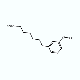 C[CH]Oc1cccc(CCCCCCCCCCCCCCC)c1